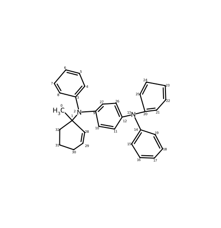 CC1(N(c2ccccc2)c2ccc(N(c3ccccc3)c3ccccc3)cc2)C=CCCC1